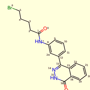 O=C(CCCCBr)Nc1cccc(-c2n[nH]c(=O)c3ccccc23)c1